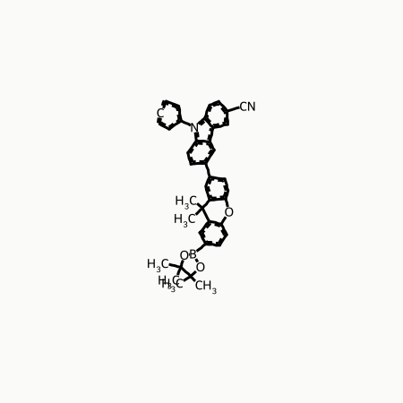 CC1(C)c2cc(B3OC(C)(C)C(C)(C)O3)ccc2Oc2ccc(-c3ccc4c(c3)c3cc(C#N)ccc3n4-c3ccccc3)cc21